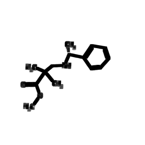 COC(=O)C(C)(C)CN[C@H](C)c1ccccc1